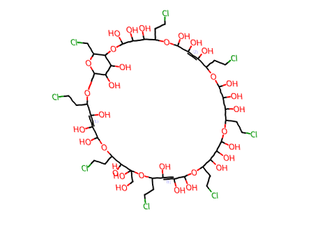 OCC1(O)OC(CCCl)/C(O)=C(\O)C(O)OC(CCCl)C(O)C(O)C(O)OC(CCCl)C(O)C(O)C(O)OC(CCCl)/C(O)=C(/O)C(O)OC(CCCl)C(O)C(O)C(O)OC2C(CCl)OC(OC(CCCl)/C(O)=C(\O)C(O)OC(CCCl)C1O)C(O)C2O